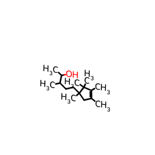 CC1=C(C)C(C)(C)C(C)(CCC(C)C(C)O)C1